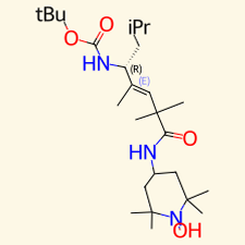 C/C(=C\C(C)(C)C(=O)NC1CC(C)(C)N(O)C(C)(C)C1)[C@@H](CC(C)C)NC(=O)OC(C)(C)C